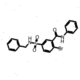 O=C(Nc1ccccc1)c1cc(S(=O)(=O)NCc2ccccc2)ccc1Br